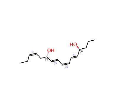 CC/C=C\C[C@H](O)/C=C/C=C\C=C\[C@@H](O)CCC